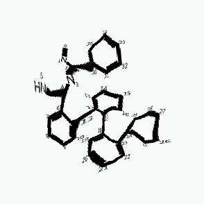 C=N/C(=N\C(=N)c1ccccc1-c1ccccc1-c1ccccc1C1=CCCCC1)C1C=CC=CC1